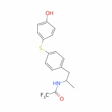 CC(Cc1ccc(Sc2ccc(O)cc2)cc1)NC(=O)C(F)(F)F